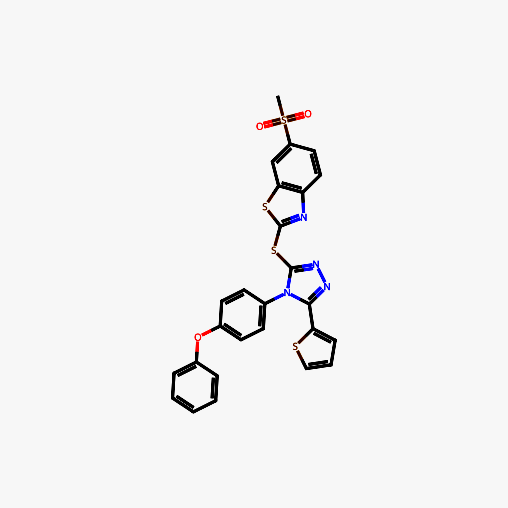 CS(=O)(=O)c1ccc2nc(Sc3nnc(-c4cccs4)n3-c3ccc(Oc4ccccc4)cc3)sc2c1